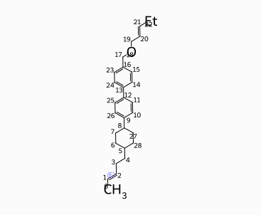 C/C=C/CCC1CCC(c2ccc(-c3ccc(COCC=CCC)cc3)cc2)CC1